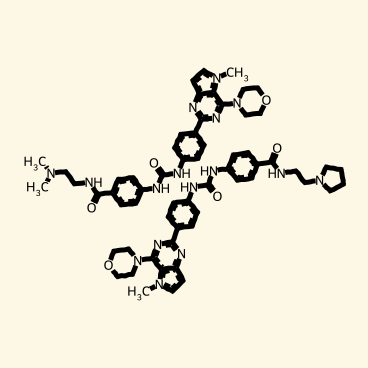 CN(C)CCNC(=O)c1ccc(NC(=O)Nc2ccc(-c3nc(N4CCOCC4)c4c(ccn4C)n3)cc2)cc1.Cn1ccc2nc(-c3ccc(NC(=O)Nc4ccc(C(=O)NCCN5CCCC5)cc4)cc3)nc(N3CCOCC3)c21